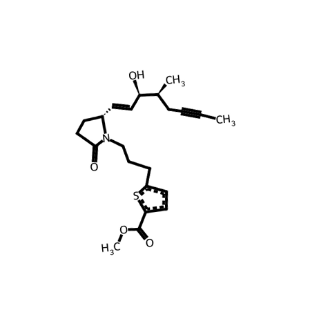 CC#CC[C@H](C)[C@H](O)/C=C/[C@H]1CCC(=O)N1CCCc1ccc(C(=O)OC)s1